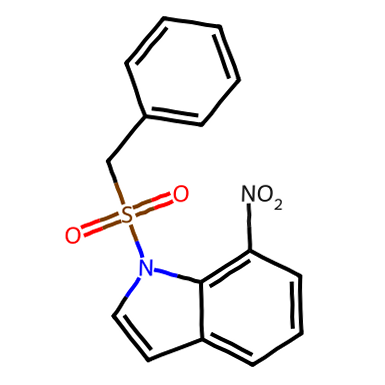 O=[N+]([O-])c1cccc2ccn(S(=O)(=O)Cc3ccccc3)c12